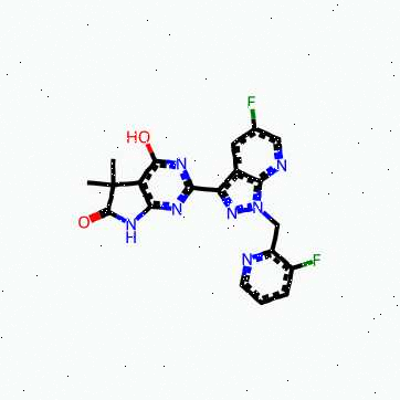 CC1(C)C(=O)Nc2nc(-c3nn(Cc4ncccc4F)c4ncc(F)cc34)nc(O)c21